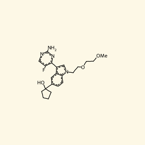 COCCOCCn1cc(-c2nc(N)ncc2F)c2cc(C3(O)CCCC3)ccc21